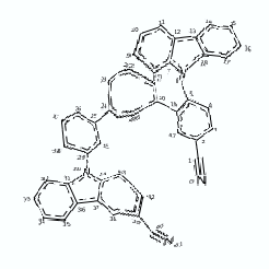 N#Cc1ccc(-n2c3ccccc3c3ccccc32)c(-c2cccc(-c3cccc(-n4c5ccccc5c5cc(C#N)ccc54)c3)c2)c1